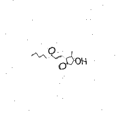 CCCCC[C@@H](/C=C/[C@H]1C(=O)C[C@H](O)[C@@H]1C)OC